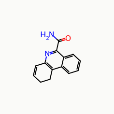 NC(=O)c1nc2c(c3ccccc13)CCC=C2